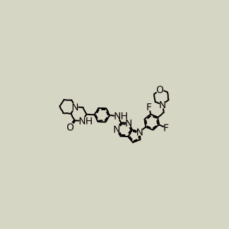 O=C1NC(c2ccc(Nc3ncc4ccn(-c5cc(F)c(CN6CCOCC6)c(F)c5)c4n3)cc2)CN2CCCCC12